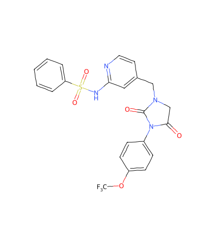 O=C1CN(Cc2ccnc(NS(=O)(=O)c3ccccc3)c2)C(=O)N1c1ccc(OC(F)(F)F)cc1